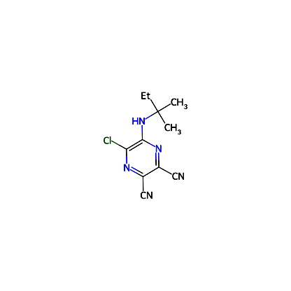 CCC(C)(C)Nc1nc(C#N)c(C#N)nc1Cl